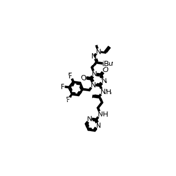 C=CN(C)/N=C(/Cn1c(=O)nc(NC(=C)CCNc2ncccn2)n(Cc2cc(F)c(F)c(F)c2)c1=O)C(C)CC